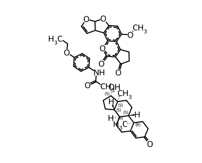 CCOc1ccc(NC(C)=O)cc1.COc1cc2c(c3oc(=O)c4c(c13)CCC4=O)C1C=COC1O2.C[C@]12CC[C@H]3[C@@H](CCC4=CC(=O)CC[C@@]43C)[C@@H]1CC[C@@H]2O